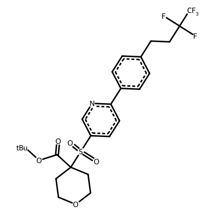 CC(C)(C)OC(=O)C1(S(=O)(=O)c2ccc(-c3ccc(CCC(F)(F)C(F)(F)F)cc3)nc2)CCOCC1